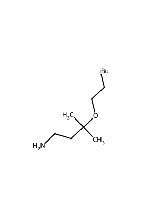 CCC(C)CCOC(C)(C)CCN